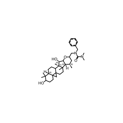 C[C@@H]1CC(CN(Cc2ccccc2)C(=O)N(C)C)OC2[C@H]1C1(C)CCC34CC35CCC(O)C(C)(C)[C@@H]5CCC4[C@]1(C)[C@H]2O